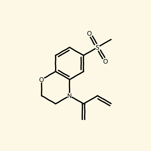 C=CC(=C)N1CCOc2ccc(S(C)(=O)=O)cc21